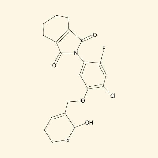 O=C1C2=C(CCCC2)C(=O)N1c1cc(OCC2=CCCSC2O)c(Cl)cc1F